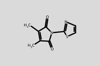 CC1=C(C)C(=O)N(c2nccs2)C1=O